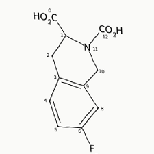 O=C(O)C1Cc2ccc(F)cc2CN1C(=O)O